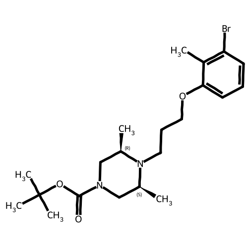 Cc1c(Br)cccc1OCCCN1[C@H](C)CN(C(=O)OC(C)(C)C)C[C@@H]1C